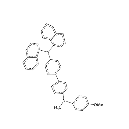 COc1ccc(N(C)c2ccc(-c3ccc(N(c4cccc5ccccc45)c4cccc5ccccc45)cc3)cc2)cc1